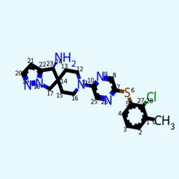 Cc1cccc(Sc2cnc(N3CCC4(CC3)Cn3nccc3[C@H]4N)cn2)c1Cl